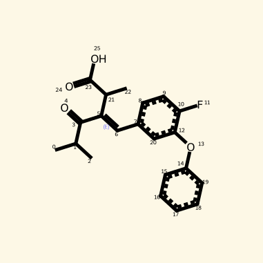 CC(C)C(=O)/C(=C/c1ccc(F)c(Oc2ccccc2)c1)C(C)C(=O)O